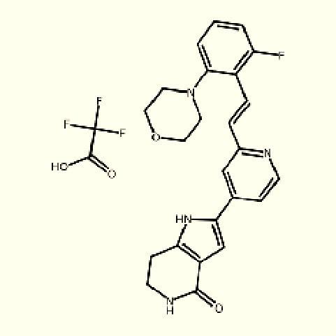 O=C(O)C(F)(F)F.O=C1NCCc2[nH]c(-c3ccnc(C=Cc4c(F)cccc4N4CCOCC4)c3)cc21